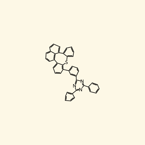 c1ccc(-c2nc(-c3ccccc3)nc(-c3cccc(-c4cccc5c4Sc4ccccc4-c4cccc6cccc-5c46)c3)n2)cc1